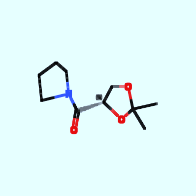 CC1(C)OC[C@@H](C(=O)N2CCCC2)O1